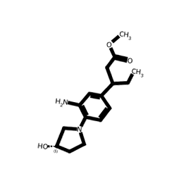 CCC(CC(=O)OC)c1ccc(N2CC[C@H](O)C2)c(N)c1